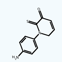 Nc1ccc(N2CC=CC(=O)C2=S)cc1